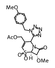 COc1ccc(Cn2nnnc2C2C(COC(C)=O)=CS(=O)(=O)[C@@H]3[C@@H](OC)C(=O)N23)cc1